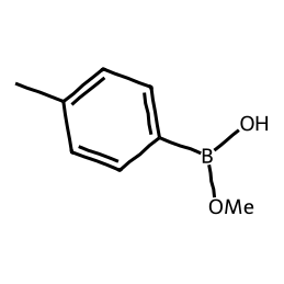 COB(O)c1ccc(C)cc1